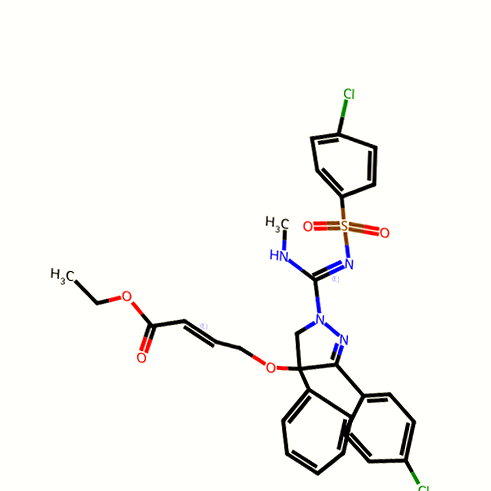 CCOC(=O)/C=C/COC1(c2ccccc2)CN(/C(=N/S(=O)(=O)c2ccc(Cl)cc2)NC)N=C1c1ccc(Cl)cc1